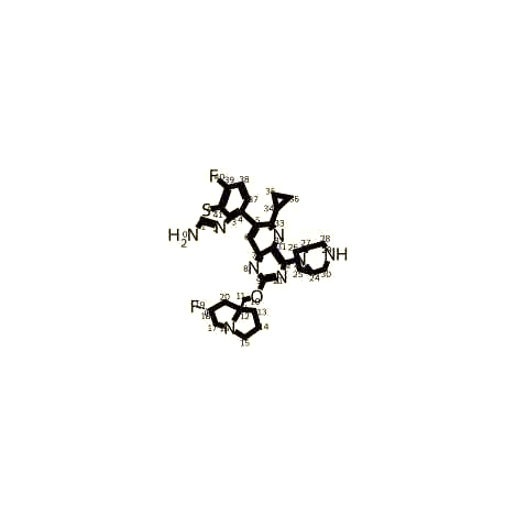 Nc1nc2c(-c3cc4nc(OC[C@@]56CCCN5C[C@H](F)C6)nc(N5C6CCC5CNC6)c4nc3C3CC3)ccc(F)c2s1